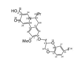 COc1cc2c(cc1OCC1COc3ccc(F)cc3O1)CC(C(C)C)n1cc(C(=O)O)c(=O)cc1-2